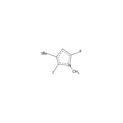 Cn1c(F)cc(C(C)(C)C)c1I